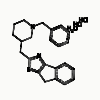 Cl.Cl.O.c1ccc(CN2CCCC(Cc3nc4c(s3)Cc3ccccc3-4)C2)cc1